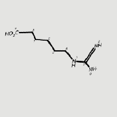 [NH]C(=N)NCCCCCC(=O)O